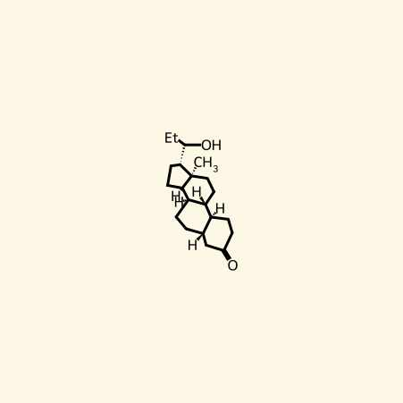 CCC(O)[C@H]1CC[C@H]2[C@@H]3CC[C@H]4CC(=O)CC[C@@H]4[C@H]3CC[C@]12C